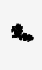 CC(O)(CNC(=O)c1cnn(-c2ccc(F)cc2)c1N)CNC(=O)c1c(F)cccc1OC(F)F